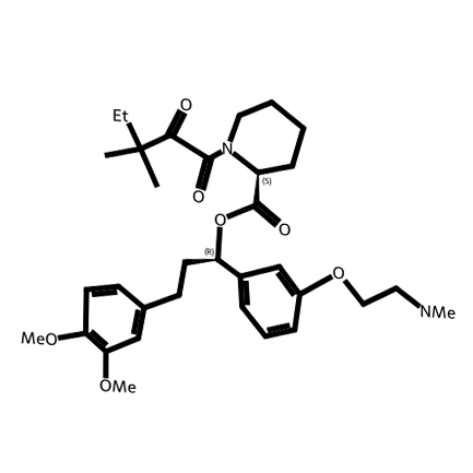 CCC(C)(C)C(=O)C(=O)N1CCCC[C@H]1C(=O)O[C@H](CCc1ccc(OC)c(OC)c1)c1cccc(OCCNC)c1